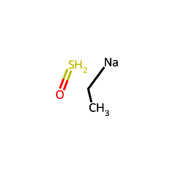 C[CH2][Na].O=[SH2]